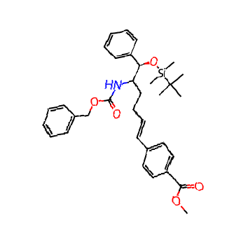 COC(=O)c1ccc(C=CCCC(NC(=O)OCc2ccccc2)[C@H](O[Si](C)(C)C(C)(C)C)c2ccccc2)cc1